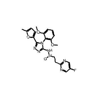 COc1cccc(OC)c1-n1c(N[S+]([O-])CCc2ncc(F)cn2)nnc1-c1ccc(C)o1